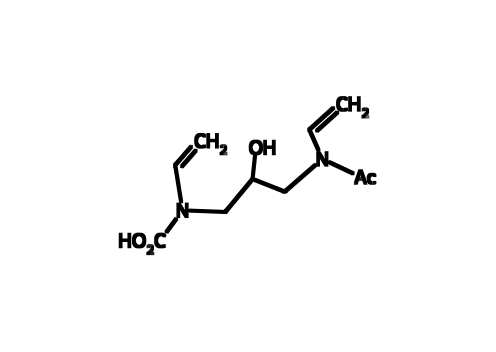 C=CN(CC(O)CN(C=C)C(=O)O)C(C)=O